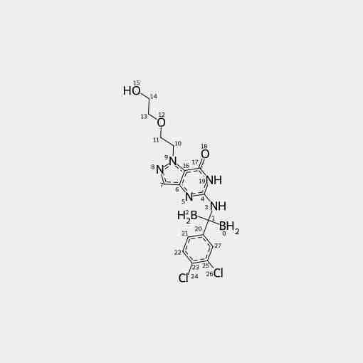 BC(B)(Nc1nc2cnn(CCOCCO)c2c(=O)[nH]1)c1ccc(Cl)c(Cl)c1